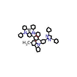 Cc1ccc2c(c1)c1ccccc1n2-c1ccc(-c2nc(-c3ccccc3)cc(-c3ccccc3)n2)cc1-c1ccc(-c2ccc3c4c2N(c2ccccc2)c2ccccc2B4c2ccccc2N3c2ccccc2)cc1